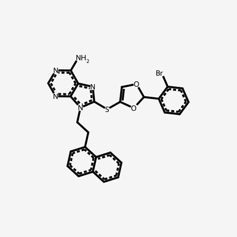 Nc1ncnc2c1nc(SC1=COC(c3ccccc3Br)O1)n2CCc1cccc2ccccc12